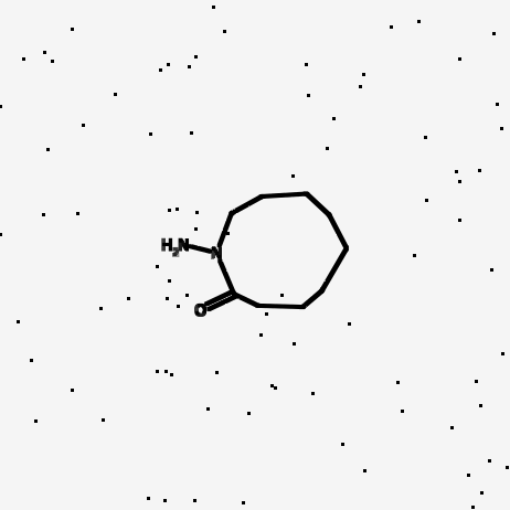 NN1CCCCCCCCC1=O